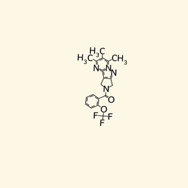 Cc1nc2c3c(nn2c(C)c1C)CN(C(=O)c1ccccc1OC(F)(F)F)C3